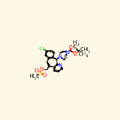 CC(C)(C)OC(=O)N1CCN(C2c3ccc(Cl)cc3C=C(COS(C)(=O)=O)c3cccnc32)CC1